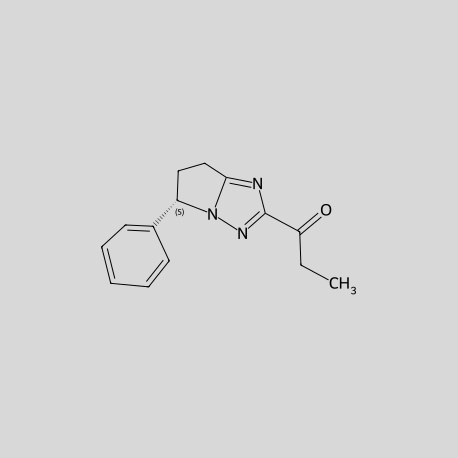 CCC(=O)c1nc2n(n1)[C@H](c1ccccc1)CC2